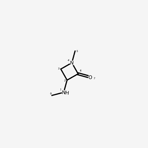 CNC1CN(C)C1=O